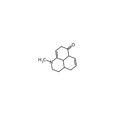 CN1CCC2CC=CC3C(=O)CC=C1C23